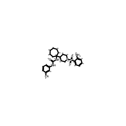 N#Cc1cccc(NC(=O)NC2(C3CCN(S(=O)(=O)c4ccccc4N)CC3)CCCCCC2)c1